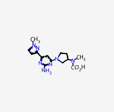 CN(C(=O)O)C1CCN(c2cc(-c3ccn(C)n3)nc(N)n2)C1